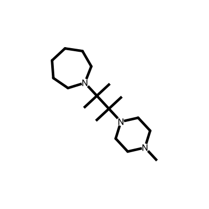 CN1CCN(C(C)(C)C(C)(C)N2CCCCCC2)CC1